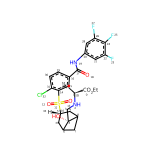 CCOC(=O)[C@@H](NC[C@]1(O)C2CC1C[C@@H](S(=O)(=O)c1cc(C(=O)Nc3cc(F)c(F)c(F)c3)ccc1Cl)C2)C(C)C